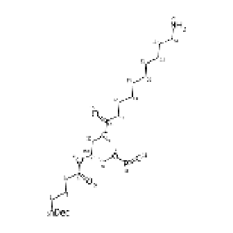 CCCCCCCCCCCCCC(=O)O[C@@H](COP=O)COC(=O)CCCCCCCCCN